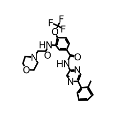 Cc1ccccc1-c1cnc(NC(=O)c2ccc(OC(F)(F)F)c(NC(=O)CN3CCOCC3)c2)cn1